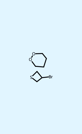 BrC1CSC1.C1CCOOC1